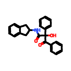 O=C(NC1Cc2ccccc2C1)C(O)(C(=O)c1ccccc1)c1ccccc1